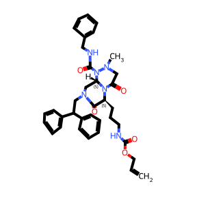 C=CCOC(=O)NCCC[C@H]1C(=O)N(CC(c2ccccc2)c2ccccc2)C[C@H]2N1C(=O)CN(C)N2C(=O)NCc1ccccc1